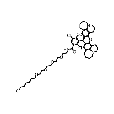 O=C(NCCOCCOCCOCCOCCCCCCCl)c1cc(Cl)c(C(=O)O)c(C2=c3cc4c5c(c3Oc3c2cc2c6c3CCCN6CCCC2)CCC[N+]=5CCCC4)c1Cl